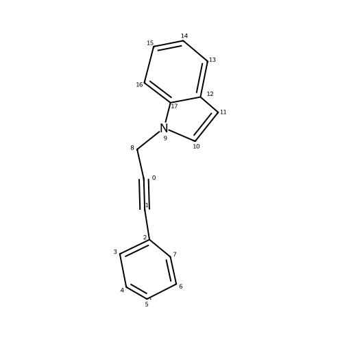 C(#Cc1cc[c]cc1)Cn1ccc2ccccc21